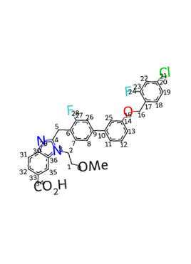 COCCn1c(Cc2ccc(-c3cccc(OCc4ccc(Cl)cc4F)c3)cc2F)nc2ccc(C(=O)O)cc21